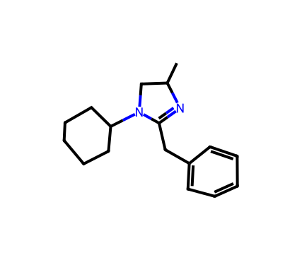 CC1CN(C2CCCCC2)C(Cc2ccccc2)=N1